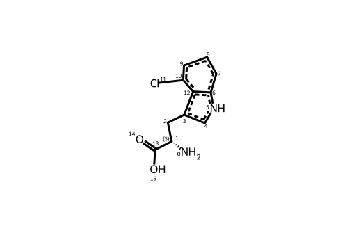 N[C@@H](Cc1c[nH]c2cccc(Cl)c12)C(=O)O